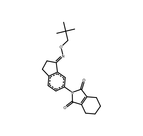 CC(C)(C)CON=C1CCc2ccc(N3C(=O)C4=C(CCCC4)C3=O)cc21